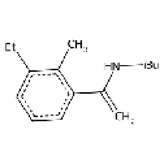 C=C(NC(C)CC)c1cccc(CC)c1C